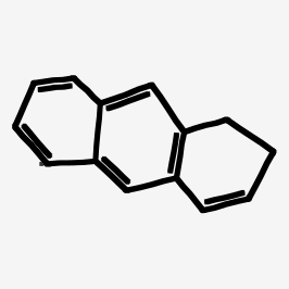 [c]1cccc2cc3c(cc12)C=CCC3